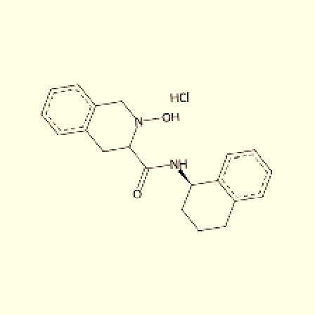 Cl.O=C(N[C@@H]1CCCc2ccccc21)C1Cc2ccccc2CN1O